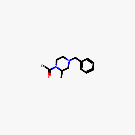 CCC(=O)N1CCN(Cc2ccccc2)CC1C